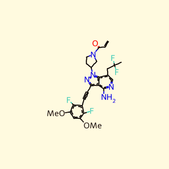 C=CC(=O)N1CCC(n2nc(C#Cc3c(F)c(OC)cc(OC)c3F)c3c(N)ncc(CC(C)(F)F)c32)C1